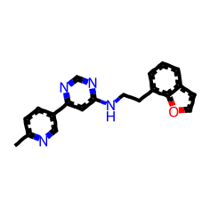 Cc1ccc(-c2cc(NCCc3cccc4ccoc34)ncn2)cn1